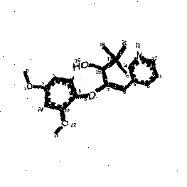 COc1ccc(OC(=Cc2cccnc2)C(O)C(C)(C)C)c(OC)c1